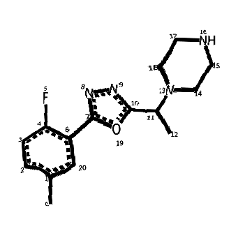 Cc1ccc(F)c(-c2nnc(C(C)N3CCNCC3)o2)c1